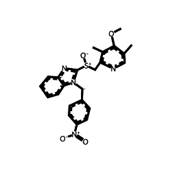 COc1c(C)cnc(C[S+]([O-])c2nc3ccccc3n2[CH]c2ccc([N+](=O)[O-])cc2)c1C